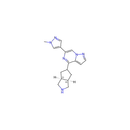 Cn1cc(-c2cn3nccc3c(C3C[C@H]4CNC[C@H]4C3)n2)cn1